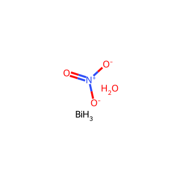 O.O=[N+]([O-])[O-].[BiH3]